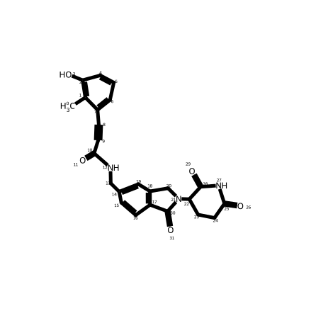 Cc1c(O)cccc1C#CC(=O)NCc1ccc2c(c1)CN(C1CCC(=O)NC1=O)C2=O